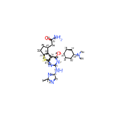 CC1N=CC(Nc2nc(O[C@H]3CC[C@H](N(C)C)CC3)c3c4c(sc3n2)CCC4CC(N)=O)=N1